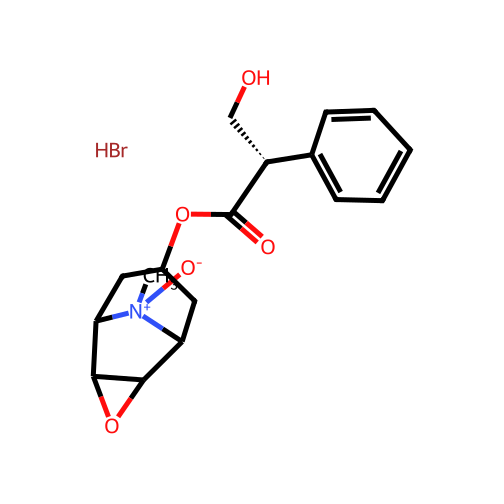 Br.C[N+]1([O-])C2CC(OC(=O)[C@H](CO)c3ccccc3)CC1C1OC12